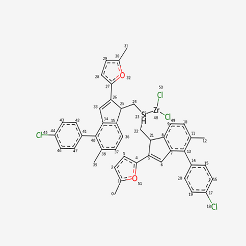 Cc1ccc(C2=Cc3c(ccc(C)c3-c3ccc(Cl)cc3)C2C[SiH](CC2C(c3ccc(C)o3)=Cc3c2ccc(C)c3-c2ccc(Cl)cc2)[Zr]([Cl])[Cl])o1